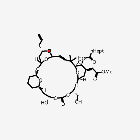 C=CC[C@H]1C[C@H]2C[C@H]3CCC[C@@H](C[C@@H](O)CC(=O)O[C@@H](CO)C[C@@H]4C/C(=C\C(=O)OC)[C@H](OC(=O)CCCCCCC)[C@@](O)(O4)C(C)(C)/C=C/[C@H](O2)O1)O3